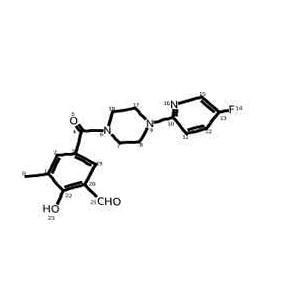 Cc1cc(C(=O)N2CCN(c3ccc(F)cn3)CC2)cc(C=O)c1O